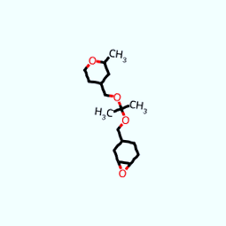 CC1CC(COC(C)(C)OCC2CCC3OC3C2)CCO1